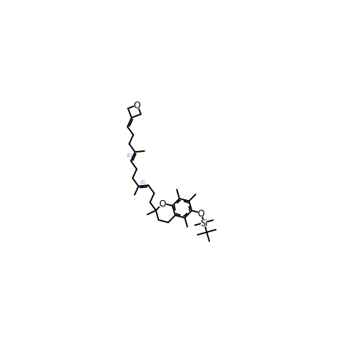 C/C(=C\CC/C(C)=C/CCC1(C)CCc2c(C)c(O[Si](C)(C)C(C)(C)C)c(C)c(C)c2O1)CCC=C1COC1